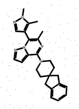 Cc1nc(N2CCC3(CC2)Cc2ccccc2C3)c2ccnn2c1-c1cnn(C)c1C